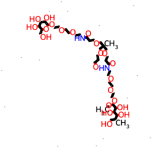 COC(OCCOCCOCCNC(=O)CCOCC(C)(COCCC=O)COCCC(=O)NCCOCCOCCOC1OC(CO)C(O)C(O)C1O)C(O)C(O)C(O)C(C)CO